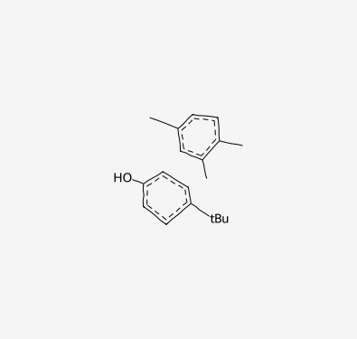 CC(C)(C)c1ccc(O)cc1.Cc1ccc(C)c(C)c1